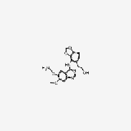 COc1cc2ncnc(Nc3c(CCO)ccc4c3OCO4)c2cc1OCN